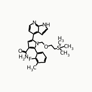 Cc1cccc(-c2c(C(N)=O)cc(-c3ccnc4[nH]ccc34)n2COCC[Si](C)(C)C)c1F